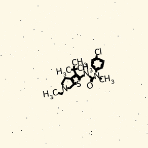 CCN1CCc2c(sc(NC(=O)N(C)c3ccc(Cl)cc3)c2C(C)(C)C)C1